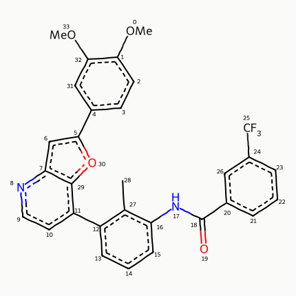 COc1ccc(-c2cc3nccc(-c4cccc(NC(=O)c5cccc(C(F)(F)F)c5)c4C)c3o2)cc1OC